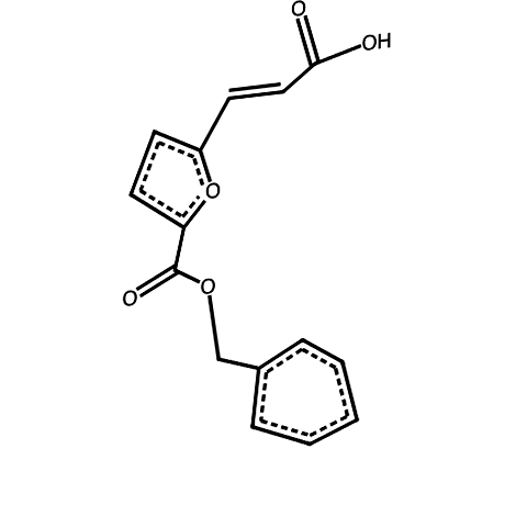 O=C(O)C=Cc1ccc(C(=O)OCc2ccccc2)o1